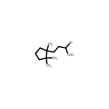 CCC(C=O)CCC1(C)CCCC1(C)C